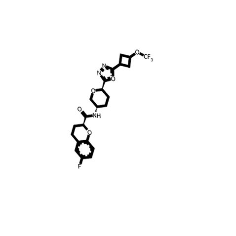 O=C(N[C@H]1CC[C@H](c2nnc(C3CC(OC(F)(F)F)C3)o2)OC1)[C@@H]1CCc2cc(F)ccc2O1